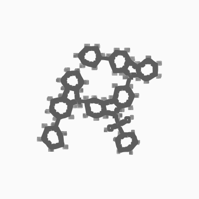 O=S(=O)(c1ccccc1)n1c2ccc(-n3c4ccccc4c4ccc(-c5ccccc5)cc43)cc2c2cc(-n3c4ccccc4c4ccc(-c5ccccc5)cc43)ccc21